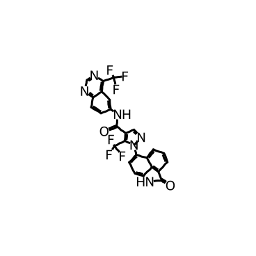 O=C(Nc1ccc2ncnc(C(F)(F)F)c2c1)c1cnn(-c2ccc3c4c(cccc24)C(=O)N3)c1C(F)(F)F